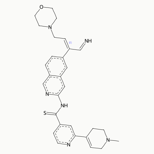 CN1CC=C(c2cc(C(=S)Nc3cc4cc(/C(C=N)=C\CN5CCOCC5)ccc4cn3)ccn2)CC1